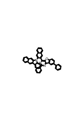 c1ccc(-c2ccc3oc4c(-c5cc6ccccc6cc5-n5c6ccccc6c6cc7ccccc7cc65)nc(-c5ccccc5)nc4c3c2)cc1